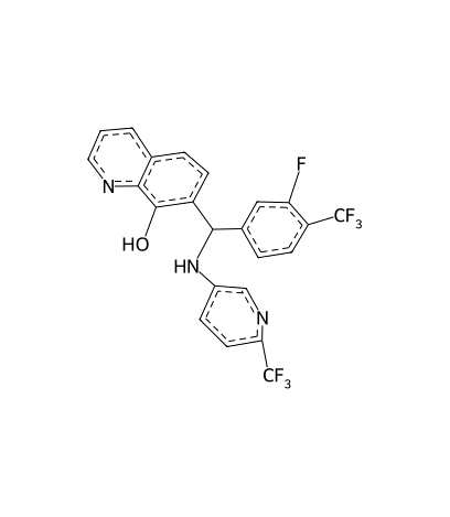 Oc1c(C(Nc2ccc(C(F)(F)F)nc2)c2ccc(C(F)(F)F)c(F)c2)ccc2cccnc12